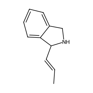 CC=CC1NCc2ccccc21